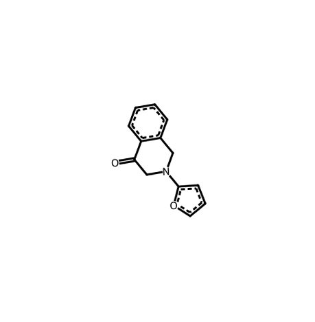 O=C1CN(c2ccco2)Cc2ccccc21